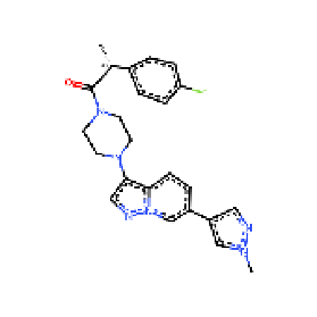 C[C@@H](C(=O)N1CCN(c2cnn3cc(-c4cnn(C)c4)ccc23)CC1)c1ccc(F)cc1